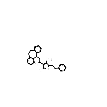 O=C(CC1c2ccccc2CCc2ccccc21)C1=C(O)C(CCc2ccccc2)OC1=O